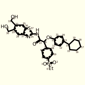 CCS(=O)(=O)c1ccc(C(Oc2ccc(C3CCCCC3)cc2)C(=O)Nc2nc3cc(CO)c(CO)cc3s2)cc1